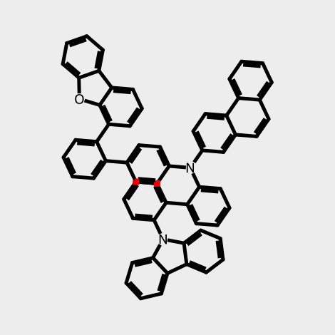 c1ccc(-c2cccc3c2oc2ccccc23)c(-c2ccc(N(c3ccc4c(ccc5ccccc54)c3)c3ccccc3-c3ccccc3-n3c4ccccc4c4ccccc43)cc2)c1